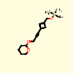 CC(C)(C)[Si](C)(C)OCC1CC(C#CCOC2CCCCO2)C1